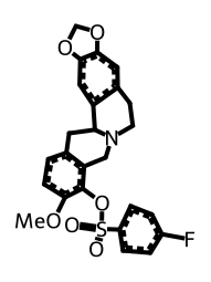 COc1ccc2c(c1OS(=O)(=O)c1ccc(F)cc1)CN1CCc3cc4c(cc3C1C2)OCO4